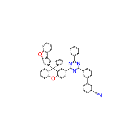 N#Cc1cccc(-c2cccc(-c3nc(-c4ccccc4)nc(-c4ccc5c(c4)C4(c6ccccc6O5)c5ccccc5-c5c4ccc4oc6ccccc6c54)n3)c2)c1